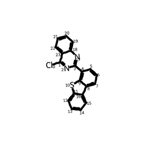 Clc1nc(-c2cccc3c2sc2ccccc23)nc2ccccc12